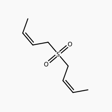 C/C=C\CS(=O)(=O)C/C=C\C